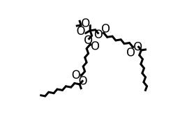 CCCCCCCCCC(C)OC(=O)CCCCCCC(=O)OCC1(COC(=O)CCCCCCC(=O)OC(C)CCCCCCCCC)COC(C)(C)OC1